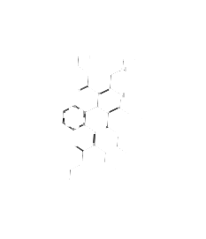 CCOC(=O)C(=Cc1ccccc1C1C(C(=O)OCC)=C(C)NC(CNC)=C1C(=O)OCC)CC